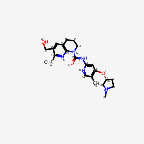 CN1CC[C@@H](Oc2cc(NC(=O)N3CCCc4cc(CO)c(C=O)nc43)ncc2C#N)C1